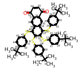 CC(C)(C)c1ccc(Sc2c(Sc3ccc(C(C)(C)C)cc3)c(Sc3ccc(C(C)(C)C)cc3)c3cc4c(cc3c2Sc2ccc(C(C)(C)C)cc2)C(=O)C=CC4=O)cc1